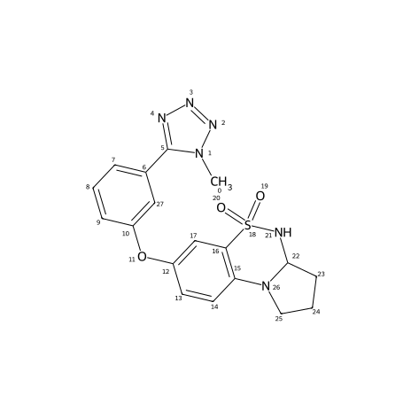 Cn1nnnc1-c1cccc(Oc2ccc3c(c2)S(=O)(=O)NC2CCCN32)c1